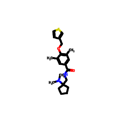 Cc1cc(C(=O)NCC2(N(C)C)CCCC2)cc(C)c1OCc1ccsc1